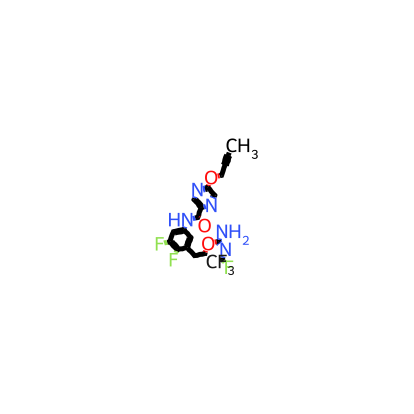 CC#CCOc1cnc(C(=O)Nc2cc(F)c(F)c(C[C@H](O/C(N)=N\CF)C(F)(F)F)c2)cn1